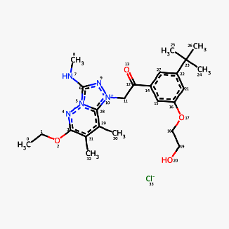 CCOc1nn2c(NC)n[n+](CC(=O)c3cc(OCCO)cc(C(C)(C)C)c3)c2c(C)c1C.[Cl-]